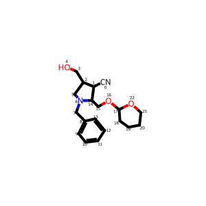 N#CC1C(CO)CN(Cc2ccccc2)C1COC1CCCCO1